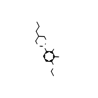 CCCC1COB(c2ccc(OCC)c(Cl)c2Cl)OC1